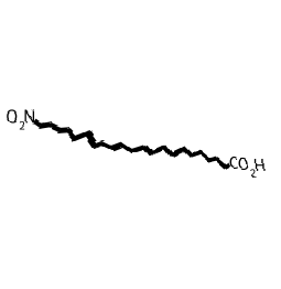 O=C(O)CCCCCC=CCC=CCC=CCC=CCCCCC[N+](=O)[O-]